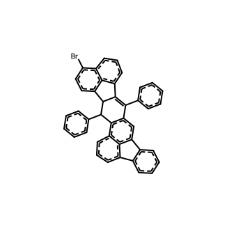 Brc1ccc2c3c(cccc13)C1=C(c3ccccc3)c3cc4c5c(cccc5c3C(c3ccccc3)C12)-c1ccccc1-4